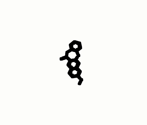 COc1ccc2cc3c(cc2c1)Oc1ccccc1CC3=O